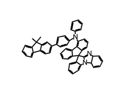 CC1(C)c2ccccc2-c2ccc(-c3ccc(N(c4ccccc4)c4cccc5c4-c4ccccc4C54C5=NC6C=CC=CC6N5c5ccccc54)cc3)cc21